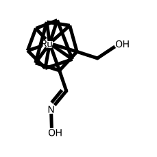 OC[C]12[CH]3[CH]4[CH]5[C]1(C=NO)[Ru]45321678[CH]2[CH]1[CH]6[CH]7[CH]28